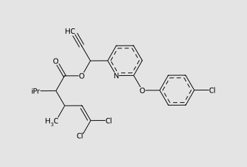 C#CC(OC(=O)C(C(C)C)C(C)C=C(Cl)Cl)c1cccc(Oc2ccc(Cl)cc2)n1